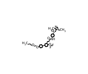 CCCCOCCOc1ccc(-c2ccc(OC(F)F)c(/C=C/C(=O)Nc3ccc([S@+]([O-])Cc4c(C)ncn4CC)cc3)c2)cc1